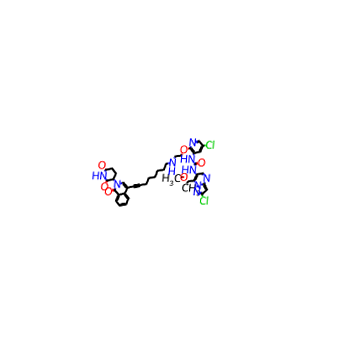 COC(C)c1c(NC(=O)Nc2cc(Cl)cnc2OCCNCCCCCCC#Cc2cn(C3CCC(=O)NC3=O)c(=O)c3ccccc23)cnc2cc(Cl)nn12